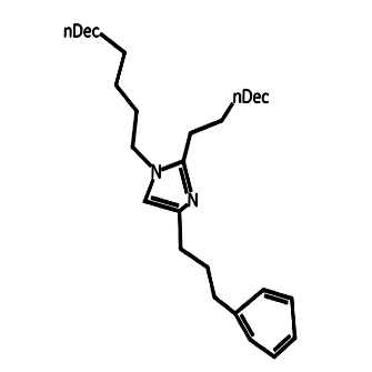 CCCCCCCCCCCCCCn1cc(CCCc2ccccc2)nc1CCCCCCCCCCCC